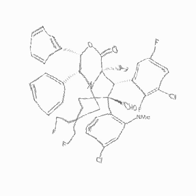 CNc1cc(Cl)ccc1[C@@]1(C=O)[C@@H](c2cc(F)cc(Cl)c2F)[C@@H]2C(=O)O[C@@H](c3ccccc3)[C@@H](c3ccccc3)N2C12CC(CF)(CF)C2